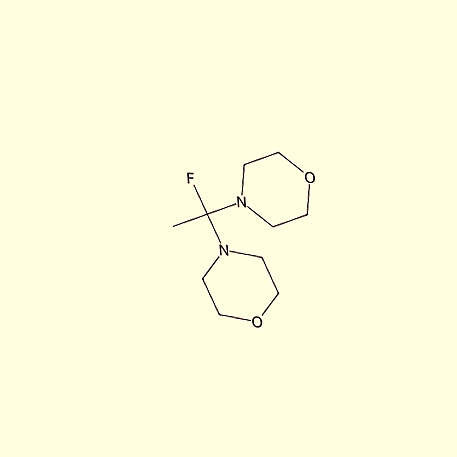 CC(F)(N1CCOCC1)N1CCOCC1